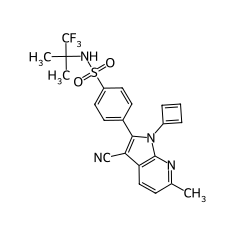 Cc1ccc2c(C#N)c(-c3ccc(S(=O)(=O)NC(C)(C)C(F)(F)F)cc3)n(C3=CC=C3)c2n1